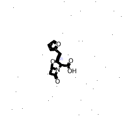 O=C(O)C1/C(=C/c2ccco2)OC2CC(=O)N21